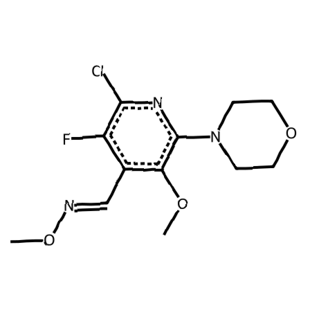 CO/N=C/c1c(F)c(Cl)nc(N2CCOCC2)c1OC